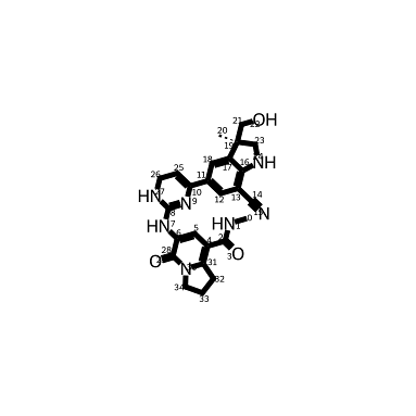 CNC(=O)c1cc(NC2=NC(c3cc(C#N)c4c(c3)[C@@](C)(CO)CN4)=CCN2)c(=O)n2c1CCC2